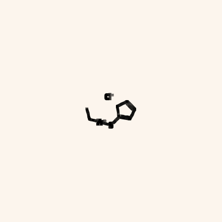 C[CH2][Zr+][S]C1=CC=CC1.[Cl-]